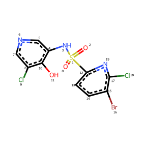 O=S(=O)(Nc1cncc(Cl)c1O)c1ccc(Br)c(Cl)n1